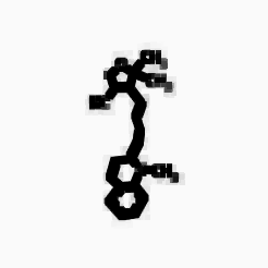 CN1C(=C=CC=CC2=C(C#N)[C]OC2(C)C)C=Cc2ccccc21